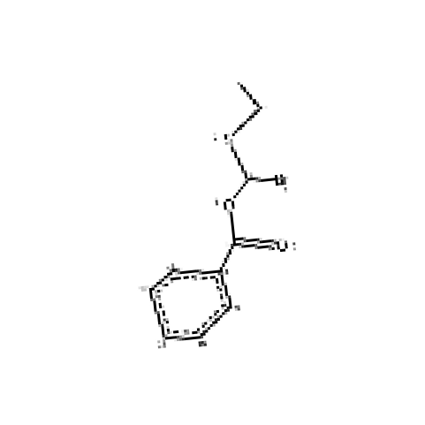 CCSC(Br)OC(=O)c1ccccc1